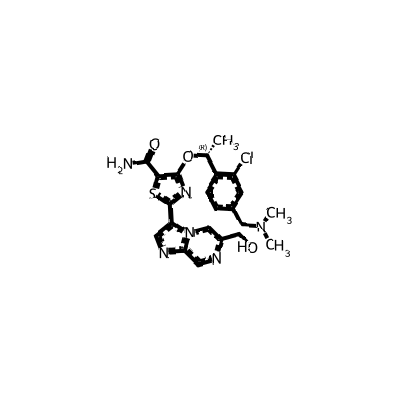 C[C@@H](Oc1nc(-c2cnc3cnc(CO)cn23)sc1C(N)=O)c1ccc(CN(C)C)cc1Cl